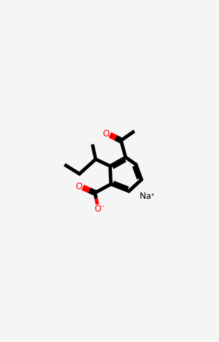 CCC(C)c1c(C(C)=O)cccc1C(=O)[O-].[Na+]